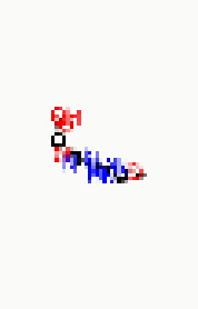 CCOc1ccc2[nH]c(-c3cnc(-c4ccc(O[C@H]5CC[C@H](CC(=O)O)CC5)nc4)cn3)nc2n1